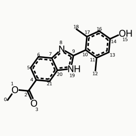 COC(=O)c1ccc2nc(-c3c(C)cc(O)cc3C)[nH]c2c1